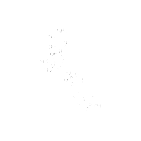 C[C@@]1(O)[C@H](O)[C@@H](COP2(=O)OCCC(c3cccc(S(C)(=O)=O)c3)O2)O[C@H]1n1cnc2c(N)ncnc21